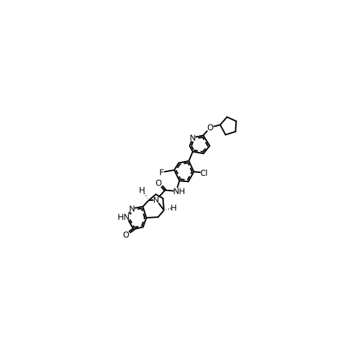 O=C(Nc1cc(Cl)c(-c2ccc(OC3CCCC3)nc2)cc1F)N1[C@H]2CC[C@@H]1c1n[nH]c(=O)cc1C2